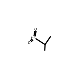 [CH2]C(C)[SH](=O)=O